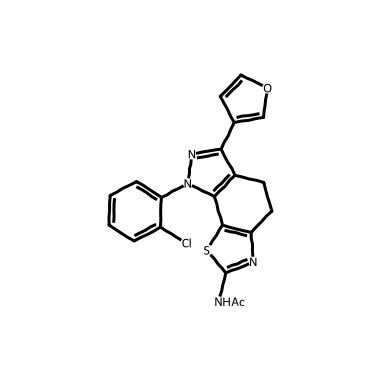 CC(=O)Nc1nc2c(s1)-c1c(c(-c3ccoc3)nn1-c1ccccc1Cl)CC2